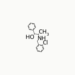 CC(NCc1ccccc1Cl)[C@@H](O)c1ccccc1